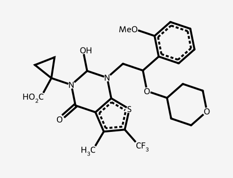 COc1ccccc1C(CN1c2sc(C(F)(F)F)c(C)c2C(=O)N(C2(C(=O)O)CC2)C1O)OC1CCOCC1